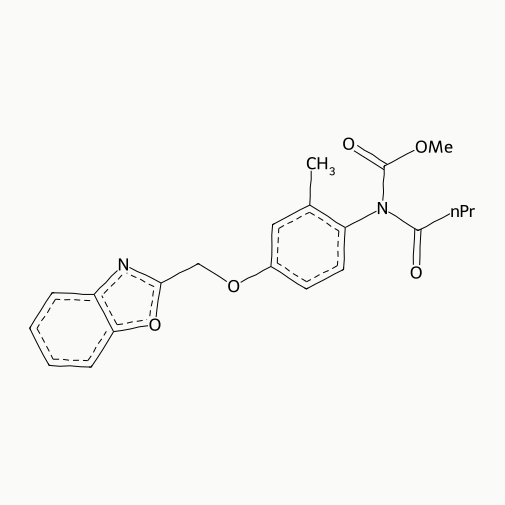 CCCC(=O)N(C(=O)OC)c1ccc(OCc2nc3ccccc3o2)cc1C